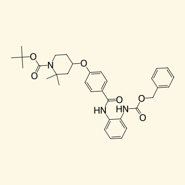 CC(C)(C)OC(=O)N1CCC(Oc2ccc(C(=O)Nc3ccccc3NC(=O)OCc3ccccc3)cc2)CC1(C)C